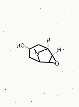 CN1C2C[C@H](O)C[C@H]1[C@H]1OC21